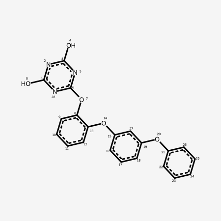 Oc1nc(O)nc(Oc2ccccc2Oc2cccc(Oc3ccccc3)c2)n1